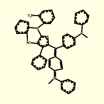 Cc1ccccc1N(c1ccccc1[N+](=O)[O-])c1sc(C(=C2C=CC(=[N+](C)c3ccccc3)C=C2)c2ccc(N(C)c3ccccc3)cc2)c(-c2ccccc2)c1C#N